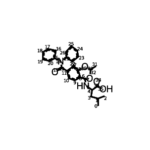 CC(C)CC(NC(=O)c1ccc(C(=O)N(c2ccccc2)c2ccccc2)cc1OC(C)C)C(=O)O